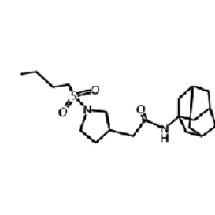 CCCCS(=O)(=O)N1CCC(CC(=O)NC23CC4CC(CC(C4)C2)C3)C1